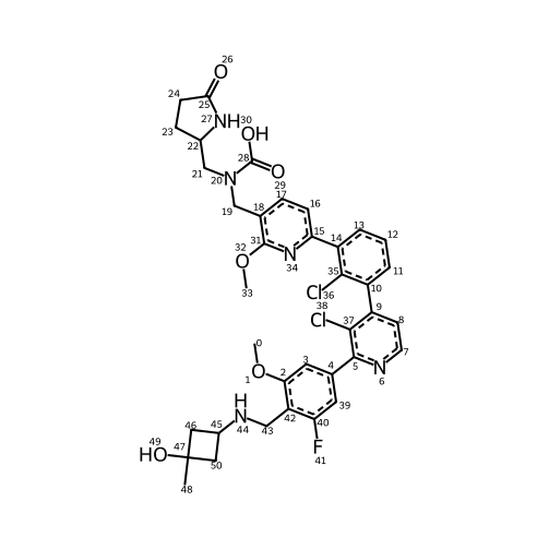 COc1cc(-c2nccc(-c3cccc(-c4ccc(CN(CC5CCC(=O)N5)C(=O)O)c(OC)n4)c3Cl)c2Cl)cc(F)c1CNC1CC(C)(O)C1